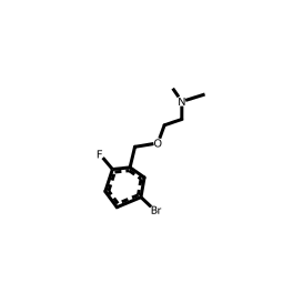 CN(C)CCOCc1cc(Br)ccc1F